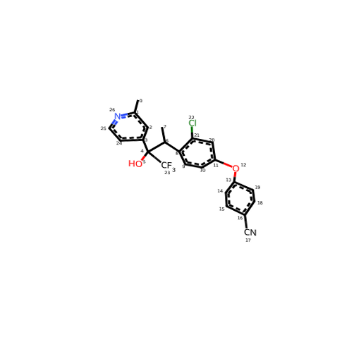 Cc1cc(C(O)(C(C)c2ccc(Oc3ccc(C#N)cc3)cc2Cl)C(F)(F)F)ccn1